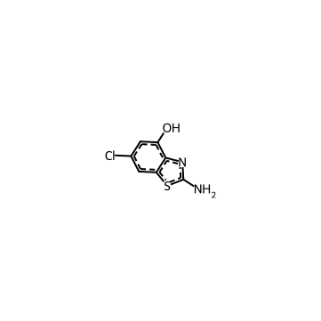 Nc1nc2c(O)cc(Cl)cc2s1